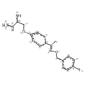 C/C(=N\OCc1ccc(F)cc1)c1ccc(OCC(=N)NN)nc1